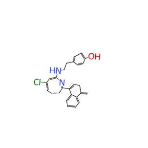 C=C1CC=C(/C2=N/C(NCCc3ccc(O)cc3)=C\C(Cl)=C/CC2)c2ccccc21